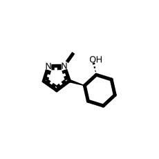 Cn1nccc1[C@@H]1CCCC[C@H]1O